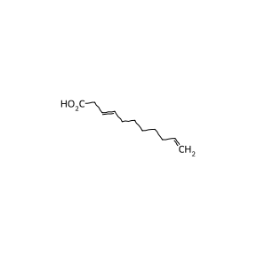 C=CCCCCCC=CCC(=O)O